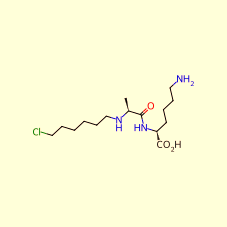 C[C@H](NCCCCCCCl)C(=O)N[C@@H](CCCCN)C(=O)O